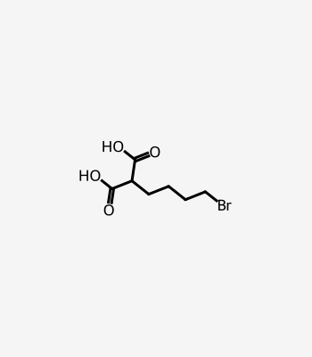 O=C(O)C(CCCCBr)C(=O)O